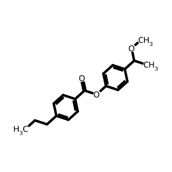 CCCc1ccc(C(=O)Oc2ccc(C(C)OC)cc2)cc1